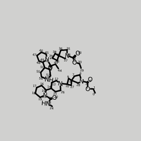 CCOC(=O)N1CCC2(CC(N3CCC(C4CCCCN4C(=O)NC)CC3)C2)C1.CCOC(=O)N1CCC2(CC([N+]3(C(=O)CC)CCCCC3C3CCNCC3)C2)C1